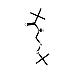 CC(C)(C)SSCNC(=O)C(C)(C)C